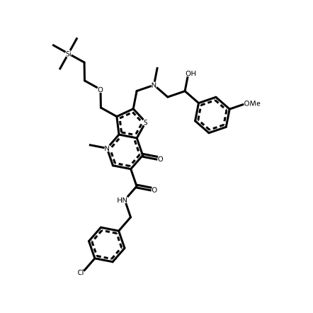 COc1cccc(C(O)CN(C)Cc2sc3c(=O)c(C(=O)NCc4ccc(Cl)cc4)cn(C)c3c2COCC[Si](C)(C)C)c1